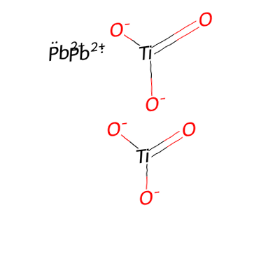 [O]=[Ti]([O-])[O-].[O]=[Ti]([O-])[O-].[Pb+2].[Pb+2]